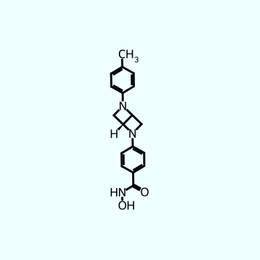 Cc1ccc(N2C[C@@H]3C2CN3c2ccc(C(=O)NO)cc2)cc1